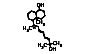 C[C@H](CC=CC=CC(C)(C)O)C1CCCC2C(O)CCCC21C